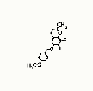 COC1CCC(COc2cc3c(c(F)c2F)OC(C)CC3)CC1